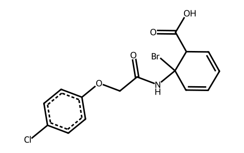 O=C(COc1ccc(Cl)cc1)NC1(Br)C=CC=CC1C(=O)O